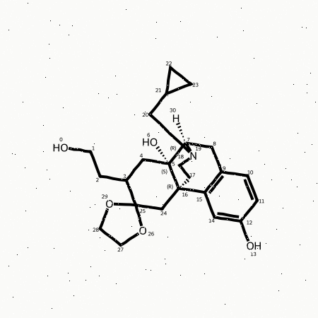 OCCC1C[C@@]2(O)[C@H]3Cc4ccc(O)cc4[C@@]2(CCN3CC2CC2)CC12OCCO2